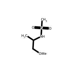 COCC(C)NS(C)(=O)=O